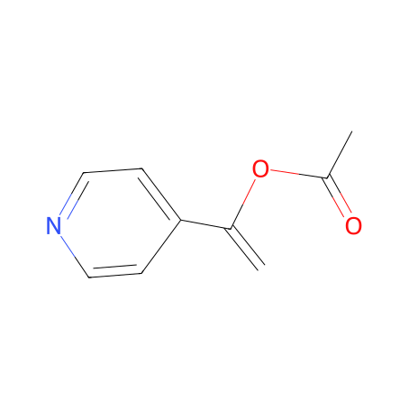 C=C(OC(C)=O)c1ccncc1